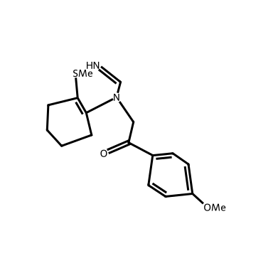 COc1ccc(C(=O)CN(C=N)C2=C(SC)CCCC2)cc1